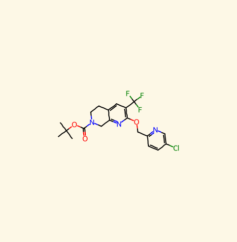 CC(C)(C)OC(=O)N1CCc2cc(C(F)(F)F)c(OCc3ccc(Cl)cn3)nc2C1